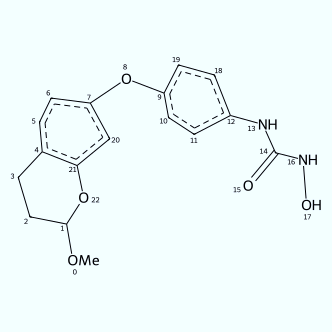 COC1CCc2ccc(Oc3ccc(NC(=O)NO)cc3)cc2O1